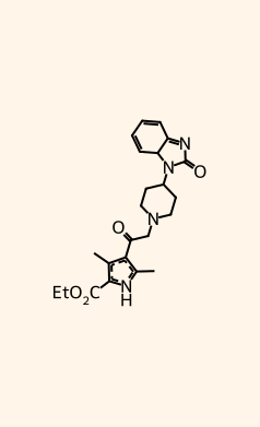 CCOC(=O)c1[nH]c(C)c(C(=O)CN2CCC(N3C(=O)N=C4C=CC=CC43)CC2)c1C